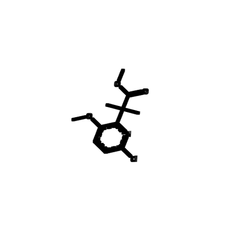 COC(=O)C(C)(C)c1nc(Cl)ccc1OC